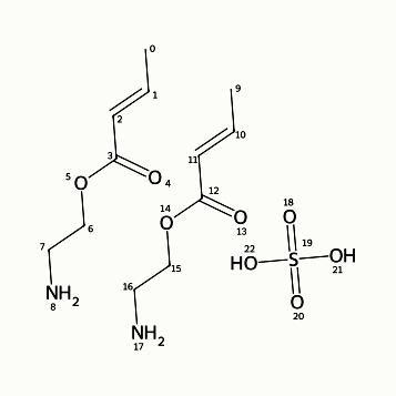 CC=CC(=O)OCCN.CC=CC(=O)OCCN.O=S(=O)(O)O